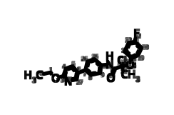 CCOc1ccc(-c2ccc(NC(=O)C(C)(C)Oc3ccc(F)cc3)cc2)cn1